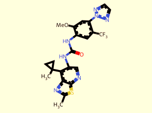 COc1cc(-n2nccn2)c(C(F)(F)F)cc1NC(=O)Nc1cnc2sc(C)nc2c1C1(C)CC1